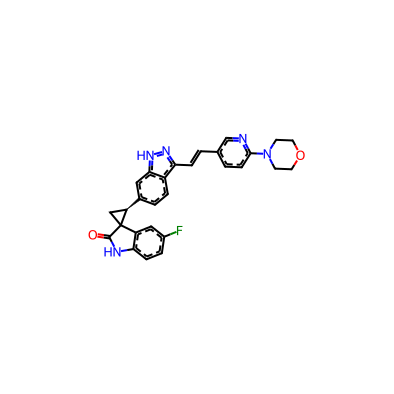 O=C1Nc2ccc(F)cc2C12C[C@H]2c1ccc2c(/C=C/c3ccc(N4CCOCC4)nc3)n[nH]c2c1